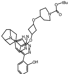 CC(C)(C)OC(=O)N1CCC(OC2CC(Oc3cc(N4C5CCC4CN(c4cc(-c6ccccc6O)nnc4N)C5)ccn3)C2)CC1